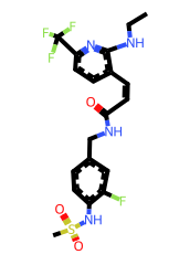 CCNc1nc(C(F)(F)F)ccc1/C=C\C(=O)NCc1ccc(NS(C)(=O)=O)c(F)c1